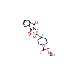 CC(C)(C)OC(=O)N1CCC(F)(C(O)ON2C(=O)c3ccccc3C2=O)CC1